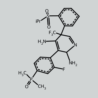 CC(C)S(=O)(=O)c1ccccc1C1(C(F)(F)F)C=NC(N)C(c2ccc(P(C)(C)=O)cc2F)=C1N